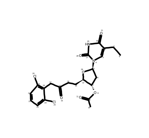 CCc1cn([C@H]2C[C@H](OC(C)=O)[C@@H](CCC(=O)Cc3c(Cl)cccc3Cl)O2)c(=O)[nH]c1=O